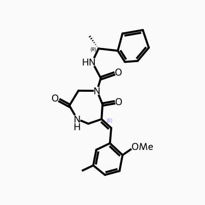 COc1ccc(C)cc1/C=C1\CNC(=O)CN(C(=O)N[C@H](C)c2ccccc2)C1=O